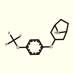 FC(F)(F)Oc1ccc(OC2C[C]3CCC(C2)N3)cc1